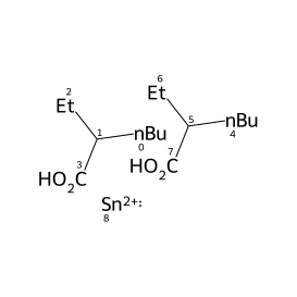 CCCCC(CC)C(=O)O.CCCCC(CC)C(=O)O.[Sn+2]